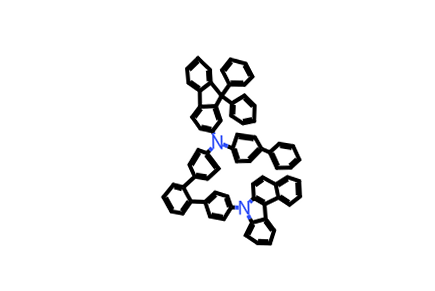 c1ccc(-c2ccc(N(c3ccc(-c4ccccc4-c4ccc(-n5c6ccccc6c6c7ccccc7ccc65)cc4)cc3)c3ccc4c(c3)C(c3ccccc3)(c3ccccc3)c3ccccc3-4)cc2)cc1